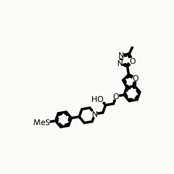 CSc1ccc(C2CCN(CC(O)COc3cccc4oc(-c5nnc(C)o5)cc34)CC2)cc1